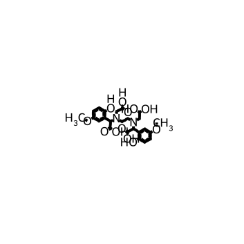 COc1ccc(O)c(C(C(=O)O)N(CCN(CC(O)O)C(C(=O)O)c2cc(OC)ccc2O)CC(=O)O)c1